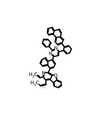 C=Cc1nc(-c2ccc(-c3cc(C4=CCCC=C4c4ccc5c(ccc6ccccc65)c4)nc(-c4ccccc4)n3)c3ccccc23)c2oc3ccccc3c2c1/C=C\C